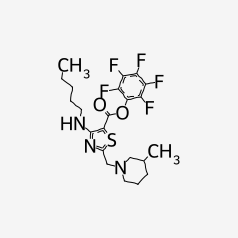 CCCCCNc1nc(CN2CCCC(C)C2)sc1C(=O)Oc1c(F)c(F)c(F)c(F)c1F